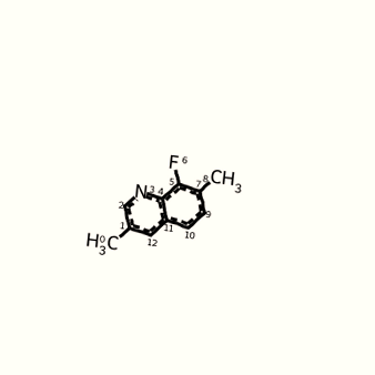 Cc1cnc2c(F)c(C)ccc2c1